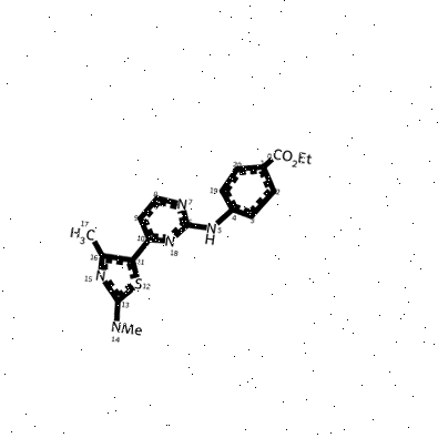 CCOC(=O)c1ccc(Nc2nccc(-c3sc(NC)nc3C)n2)cc1